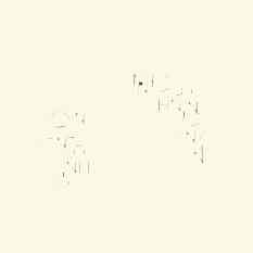 Cc1nn(CCCCCC2CCN(c3cccc4c3C(=O)N(C3CCC(=O)NC3=O)C4=O)CC2)c2cc(C(=O)Nc3cc4[nH]c([C@H]5CCCN5C)cc4cn3)ccc12